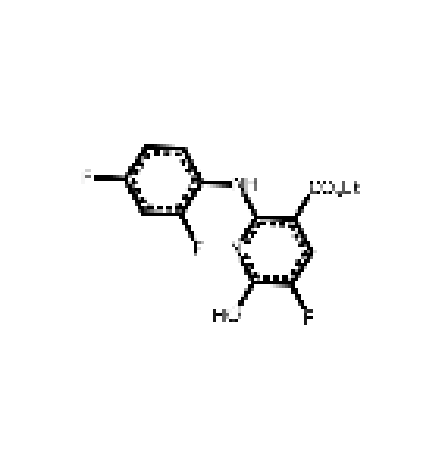 CCOC(=O)c1cc(F)c(O)nc1Nc1ccc(F)cc1F